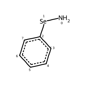 N[Se]c1[c]cccc1